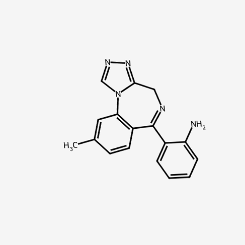 Cc1ccc2c(c1)-n1cnnc1CN=C2c1ccccc1N